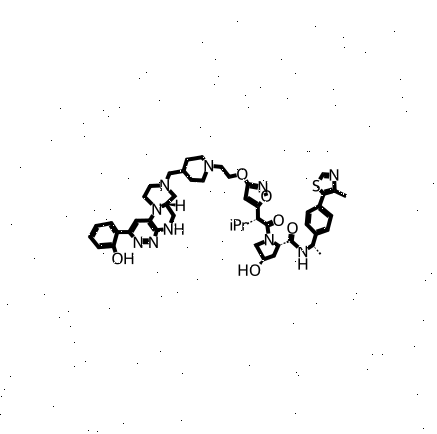 Cc1ncsc1-c1ccc([C@H](C)NC(=O)[C@@H]2C[C@@H](O)CN2C(=O)[C@@H](c2cc(OCCN3CCC(CN4CCN5c6cc(-c7ccccc7O)nnc6NC[C@H]5C4)CC3)no2)C(C)C)cc1